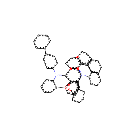 c1ccc(-c2ccc(N(c3ccccc3-c3cccc(N(c4ccccc4-c4ccccc4)c4ccccc4-c4ccccc4)c3)c3cccc4c3oc3ccccc34)cc2)cc1